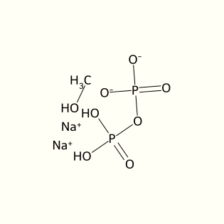 CO.O=P([O-])([O-])OP(=O)(O)O.[Na+].[Na+]